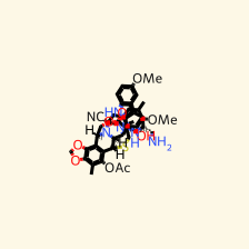 COC1=C(O)C2(C)C(C=C1C)CC1(C#N)CN(C)C2[C@@H]2[C@@H]3SC[C@]4(N[C@@H](CN)Cc5c4[nH]c4ccc(OC)cc54)C(=O)OC[C@@H](c4c5c(c(C)c(OC(C)=O)c43)OCO5)N21